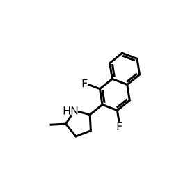 CC1CCC(c2c(F)cc3ccccc3c2F)N1